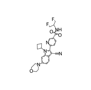 N#Cc1c(-c2ccc(S(=O)(=O)NC(CF)CF)cn2)n(C2CCC2)c2cc(N3CCOCC3)ccc12